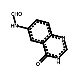 O=CNc1ccc2nc[nH]c(=O)c2c1